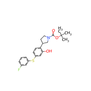 CC(C)(C)OC(=O)N1CCC(c2ccc(Sc3cccc(F)c3)cc2O)C1